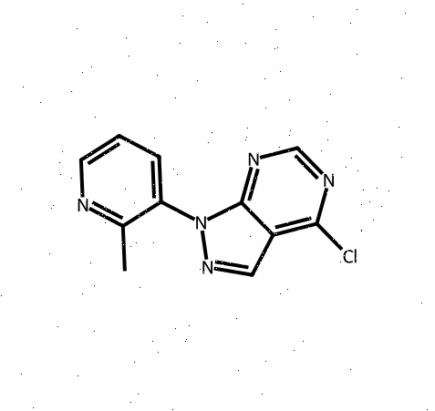 Cc1ncccc1-n1ncc2c(Cl)ncnc21